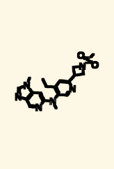 CCc1cc(C2CN(S(C)(=O)=O)C2)ncc1N(C)c1cc2c(cn1)ncn2C